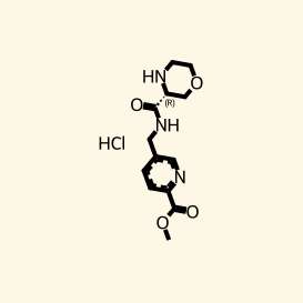 COC(=O)c1ccc(CNC(=O)[C@H]2COCCN2)cn1.Cl